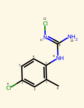 Cc1cc(Cl)ccc1NC(N)=NCl